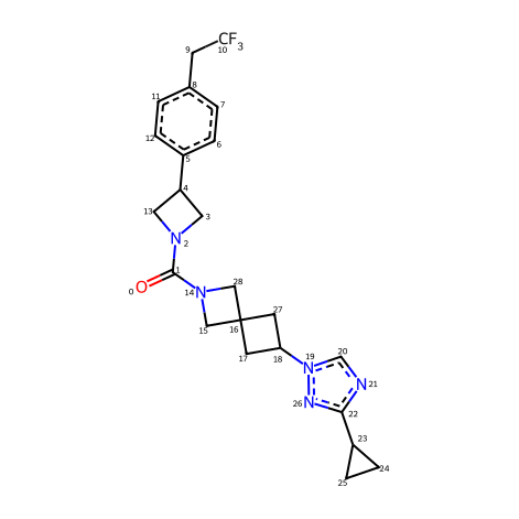 O=C(N1CC(c2ccc(CC(F)(F)F)cc2)C1)N1CC2(CC(n3cnc(C4CC4)n3)C2)C1